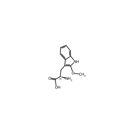 COc1[nH]c2ccccc2c1C[C@@H](N)C(=O)O